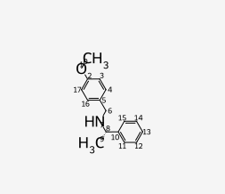 COc1ccc(CN[C@@H](C)c2ccccc2)cc1